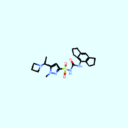 CC(c1cc(S(=O)(=O)NC(=O)Nc2c3c(cc4c2CCC4)CCC3)nn1C)N1CCC1